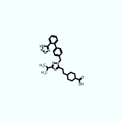 CC(C)c1nc(CCC2CCC(C(=O)O)CC2)n(Cc2ccc(-c3ccccc3-c3nnn[nH]3)cc2)n1